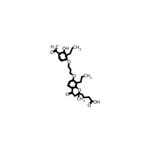 CCCc1c(OCCCOc2ccc3c(c2CCC)OC(C)(CCCC(=O)O)CC3=O)ccc(C(C)=O)c1O